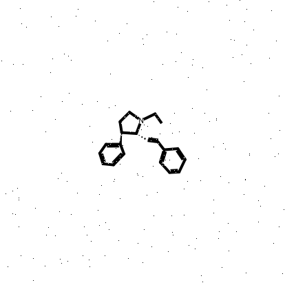 CCN1CC[C@H](c2ccccc2)[C@H]1/C=C/c1ccccc1